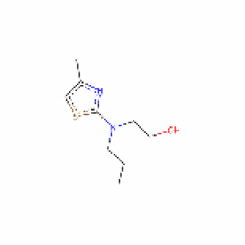 CCCN(CCO)c1nc(C)cs1